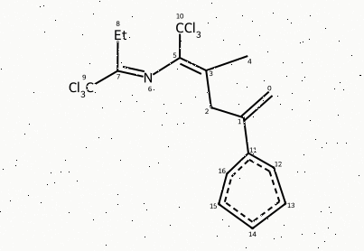 C=C(C/C(C)=C(\N=C(/CC)C(Cl)(Cl)Cl)C(Cl)(Cl)Cl)c1ccccc1